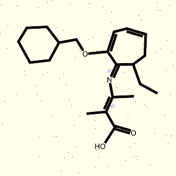 CCC1CC=CC=C(OCC2CCCCC2)/C1=N/C(C)=C(\C)C(=O)O